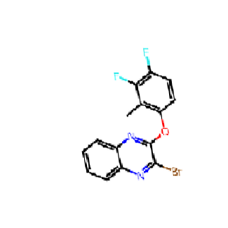 Cc1c(Oc2nc3ccccc3nc2Br)ccc(F)c1F